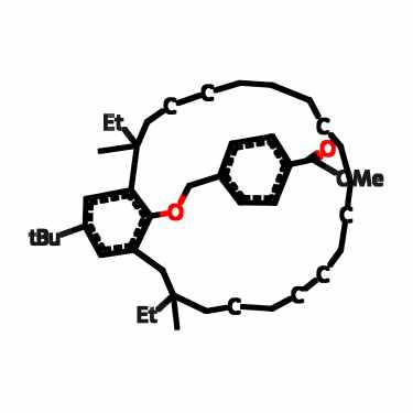 CCC1(C)CCCCCCCCCCCCCCCCC(C)(CC)c2cc(C(C)(C)C)cc(c2OCc2ccc(C(=O)OC)cc2)C1